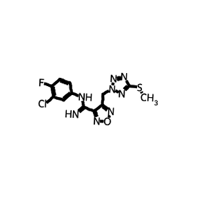 CSc1nnn(Cc2nonc2C(=N)Nc2ccc(F)c(Cl)c2)n1